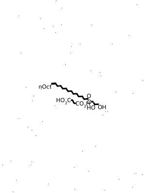 CCCCCCCC/C=C\CCCCCCCCCCCC(=O)OCC(O)CO.O=C(O)CCC(=O)O